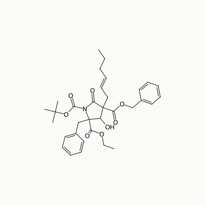 CCC/C=C/CC1(C(=O)OCc2ccccc2)C(=O)N(C(=O)OC(C)(C)C)C(Cc2ccccc2)(C(=O)OCC)C1O